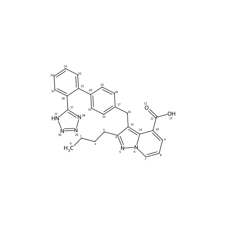 CCCCc1nn2cccc(C(=O)O)c2c1Cc1ccc(-c2ccccc2-c2nnn[nH]2)cc1